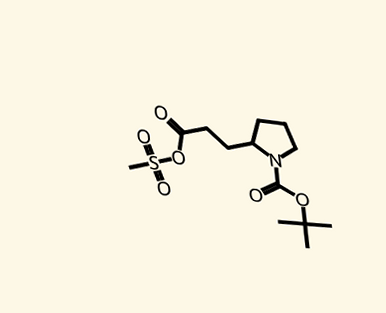 CC(C)(C)OC(=O)N1CCCC1CCC(=O)OS(C)(=O)=O